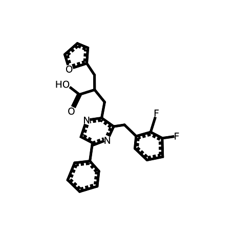 O=C(O)C(Cc1ccco1)Cc1ncc(-c2ccccc2)nc1Cc1cccc(F)c1F